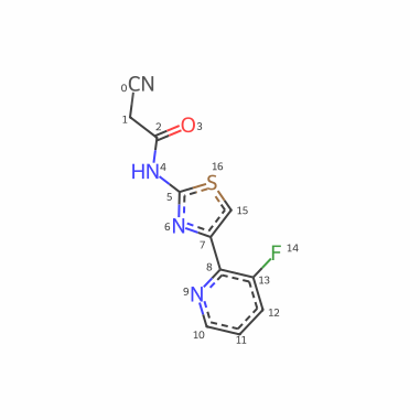 N#CCC(=O)Nc1nc(-c2ncccc2F)cs1